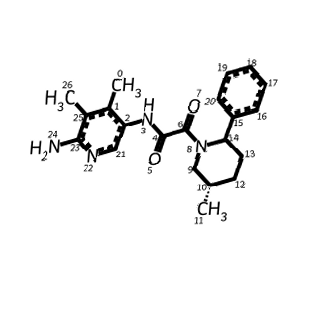 Cc1c(NC(=O)C(=O)N2C[C@@H](C)CCC2c2ccccc2)cnc(N)c1C